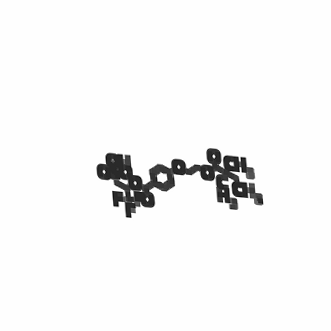 CCC(C)(C)C(=O)OCCOc1ccc(C(=O)OC(CS(=O)(=O)O)C(F)(F)F)cc1